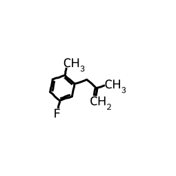 C=C(C)Cc1cc(F)ccc1C